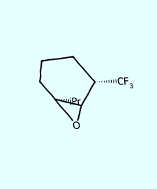 CC(C)[C@]12CCC[C@H](C(F)(F)F)C1O2